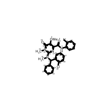 COc1c(C(=O)Nc2ccccc2I)nc(N(C)C(c2ccccc2)c2ccccc2Cl)n(C)c1=O